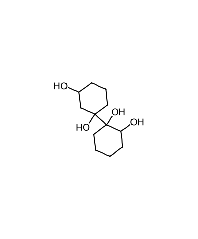 OC1CCCC(O)(C2(O)CCCCC2O)C1